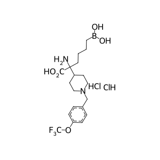 Cl.Cl.NC(CCCCB(O)O)(C(=O)O)C1CCN(Cc2ccc(OC(F)(F)F)cc2)CC1